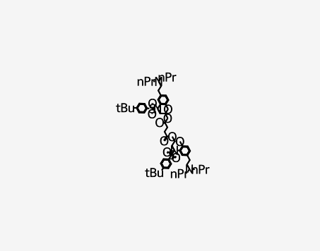 CCCN(CCC)CCc1ccc2c(c1)N(S(=O)(=O)c1ccc(C(C)(C)C)cc1)CC(OC(=O)CCC(=O)OC1CN(S(=O)(=O)c3ccc(C(C)(C)C)cc3)c3cc(CCN(CCC)CCC)ccc3O1)O2